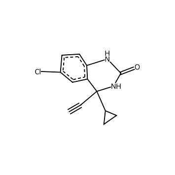 C#CC1(C2CC2)NC(=O)Nc2ccc(Cl)cc21